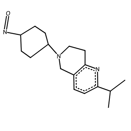 CC(C)c1ccc2c(n1)CCN(C1CCC(N=O)CC1)C2